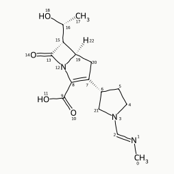 C/N=C/N1CC[C@@H](C2=C(C(=O)O)N3C(=O)[C@H]([C@@H](C)O)[C@H]3C2)C1